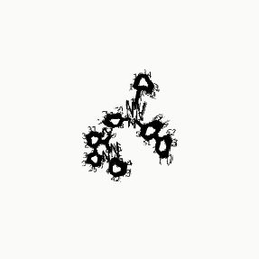 c1ccc(-c2ccc(-c3nc(-c4ccccc4)nc(-c4cccc(-n5cc6c7c(cccc75)c5ccccc5n5c7ccccc7nc65)c4)n3)cc2)cc1